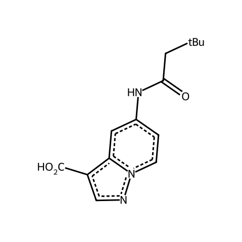 CC(C)(C)CC(=O)Nc1ccn2ncc(C(=O)O)c2c1